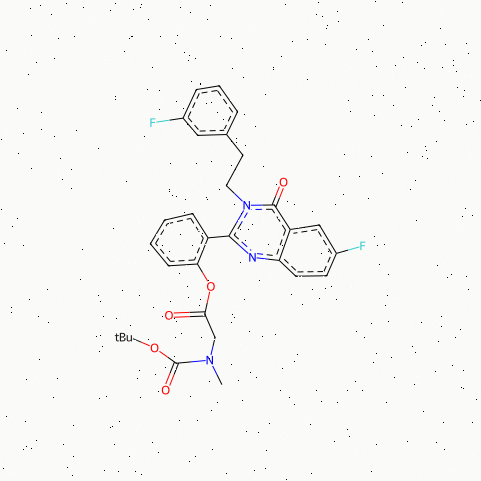 CN(CC(=O)Oc1ccccc1-c1nc2ccc(F)cc2c(=O)n1CCc1cccc(F)c1)C(=O)OC(C)(C)C